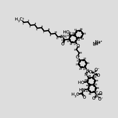 CCCCCCCCCCCCNC(=O)c1cc(OCCOc2ccc(N=Nc3c(S(=O)(=O)[O-])cc4cc(S(=O)(=O)[O-])cc(NC(C)=O)c4c3O)cc2)c2ccccc2c1O.[Na+].[Na+]